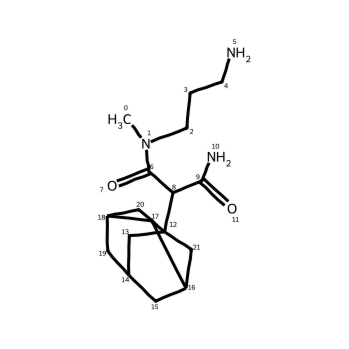 CN(CCCN)C(=O)C(C(N)=O)C12CC3CC(CC(C3)C1)C2